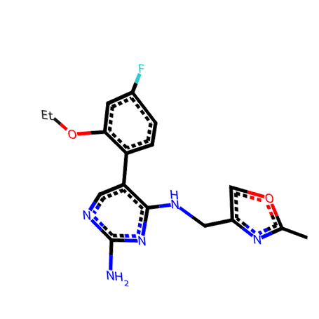 CCOc1cc(F)ccc1-c1cnc(N)nc1NCc1coc(C)n1